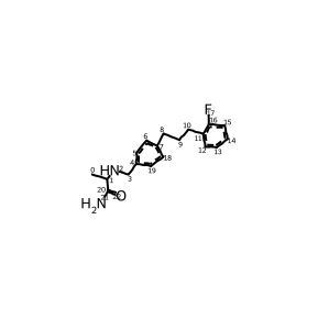 CC(NCc1ccc(CCCc2ccccc2F)cc1)C(N)=O